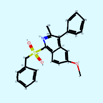 COc1ccc2c(S(=O)(=O)Cc3ccccc3)nc(C)c(-c3ccccc3)c2c1